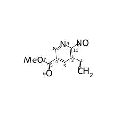 C=Cc1cc(C(=O)OC)cnc1N=O